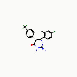 Cc1cc(F)ccc1[C@@]1(C)NC(=N)N(C)C(=O)[C@H]1c1ccc(C(F)(F)F)cc1